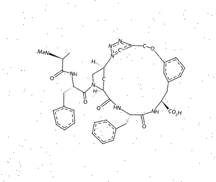 CN[C@@H](C)C(=O)N[C@@H](Cc1ccccc1)C(=O)N1C[C@@H]2C[C@H]1C(=O)N[C@@H](Cc1ccccc1)C(=O)N[C@H](C(=O)O)Cc1cccc(c1)OCc1cn2nn1